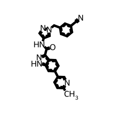 Cc1ccc(-c2ccc3c(C(=O)Nc4cnn(Cc5cccc(C#N)c5)c4)n[nH]c3c2)cn1